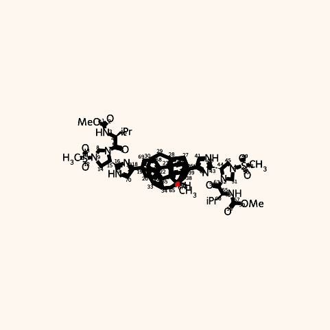 COC(=O)N[C@H](C(=O)N1CN(S(C)(=O)=O)C[C@H]1c1nc(-c2ccc(-c3cc4ccc3CCc3ccc(c(-c5ccc(-c6c[nH]c([C@@H]7CN(S(C)(=O)=O)CN7C(=O)[C@@H](NC(=O)OC)C(C)C)n6)cc5)c3)C[C@H]4C)cc2)c[nH]1)C(C)C